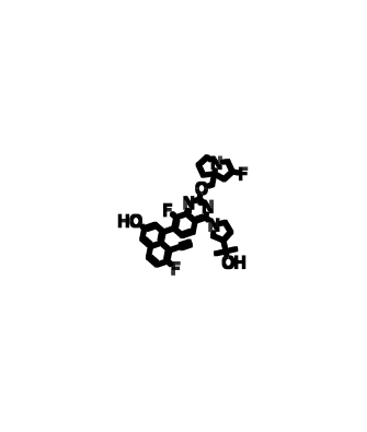 C#Cc1c(F)ccc2cc(O)cc(-c3ccc4c(N5CCC(C(C)(C)O)C5)nc(OCC56CCCN5CC(F)C6)nc4c3F)c12